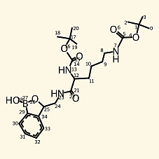 CC(C)(C)OC(=O)NCCCCC(NC(=O)OC(C)(C)C)C(=O)NCC1OB(O)c2ccccc21